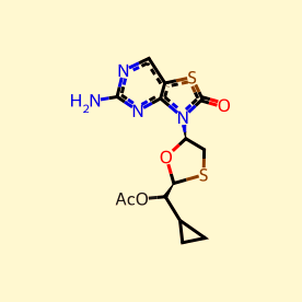 CC(=O)OC(C1CC1)[C@H]1O[C@@H](n2c(=O)sc3cnc(N)nc32)CS1